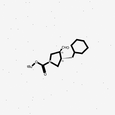 CC(C)(C)OC(=O)N1C[C@@H](CC2CCCCC2)[C@H](C=O)C1